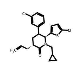 C=CC[C@@H]1CC(c2cccc(Cl)c2)[C@@H](c2ccc(Cl)s2)N(CC2CC2)C1=O